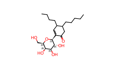 CCCCCC1CC(=O)C([C@@H]2O[C@H](CO)[C@H](O)[C@H](O)[C@H]2O)=CC1CCCC